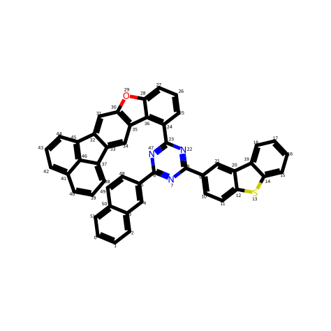 c1ccc2cc(-c3nc(-c4ccc5sc6ccccc6c5c4)nc(-c4cccc5oc6cc7c(cc6c45)-c4cccc5cccc-7c45)n3)ccc2c1